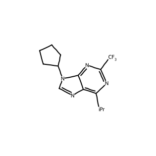 CC(C)c1nc(C(F)(F)F)nc2c1ncn2C1CCCC1